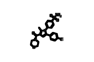 Cc1c(C(=O)N2CCOCC2)cc(-c2ccc(Cl)cc2)n1-c1ccc(S(N)(=O)=O)cc1